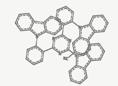 N#Cc1ccc2c3ccccc3n(-c3ccccc3-c3nc(-c4ccccc4-n4c5ccccc5c5ccccc54)nc(-n4c5ccccc5c5ccccc54)n3)c2c1